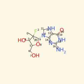 CC1(F)C(O)C(CO)O[C@H]1N1CNc2c1nc(N)[nH]c2=O